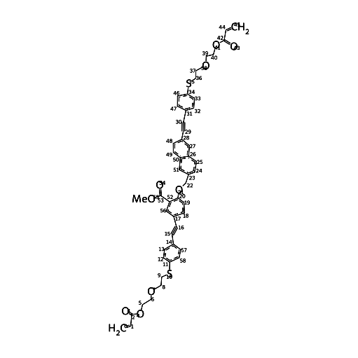 C=CC(=O)OCCOCCSc1ccc(C#Cc2ccc(OCc3ccc4cc(C#Cc5ccc(SCCOCCOC(=O)C=C)cc5)ccc4c3)c(C(=O)OC)c2)cc1